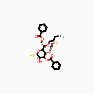 CCCCO[C@@H](COC(=O)c1ccccc1)C1O[C@@H](S)[C@H](O)C(OC(=O)c2ccccc2)[C@@H]1OB=BP